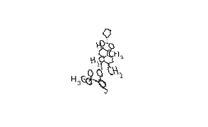 C=C1CCC2[C@]3(C)CO[C@@H](C4CCCC4)O[C@@H]3CC[C@@]2(C)[C@@H]1CCOc1cscc1C(=O)OC